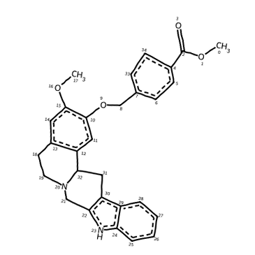 COC(=O)c1ccc(COc2cc3c(cc2OC)CCN2Cc4[nH]c5ccccc5c4CC32)cc1